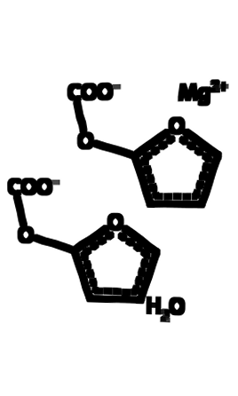 O.O=C([O-])Oc1ccco1.O=C([O-])Oc1ccco1.[Mg+2]